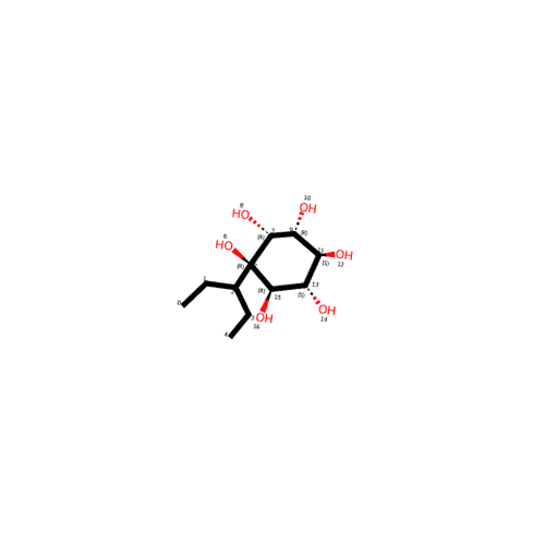 CCC(CC)[C@]1(O)[C@H](O)[C@H](O)[C@@H](O)[C@H](O)[C@H]1O